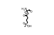 C[C@@](N)([C]=O)NC(=O)CCCP(C)(=O)O